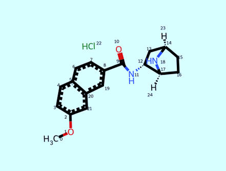 COc1ccc2ccc(C(=O)N[C@@H]3C[C@H]4CC[C@@H]3N4)cc2c1.Cl